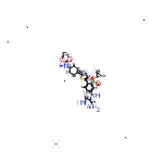 CC(C)OC(=O)NC1CCC(c2ncc(-c3ccc(N/C(C=N)=C/N)cc3S(=O)(=O)C3CC3)s2)CC1